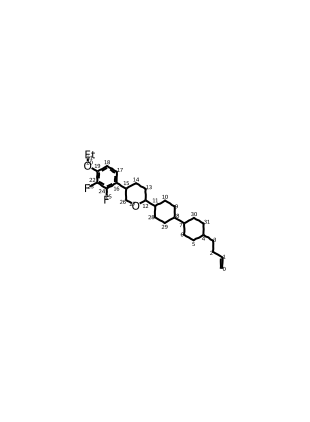 C=CCCC1CCC(C2CCC(C3CCC(c4ccc(OCC)c(F)c4F)CO3)CC2)CC1